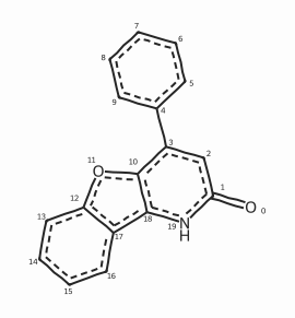 O=c1cc(-c2ccccc2)c2oc3ccccc3c2[nH]1